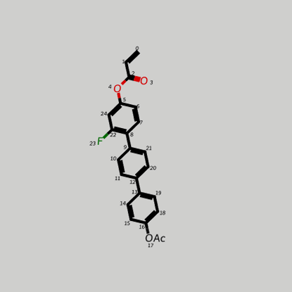 C=CC(=O)Oc1ccc(-c2ccc(-c3ccc(OC(C)=O)cc3)cc2)c(F)c1